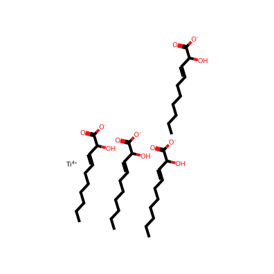 CCCCCCC=CC(O)C(=O)[O-].CCCCCCC=CC(O)C(=O)[O-].CCCCCCC=CC(O)C(=O)[O-].CCCCCCC=CC(O)C(=O)[O-].[Ti+4]